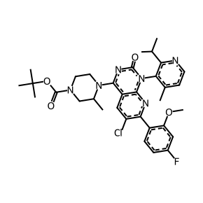 COc1cc(F)ccc1-c1nc2c(cc1Cl)c(N1CCN(C(=O)OC(C)(C)C)CC1C)nc(=O)n2-c1c(C)ccnc1C(C)C